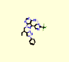 CCC(Cn1nc(-c2cnc(C(F)(F)F)nc2)c2c(N)ncnc21)c1cn(-c2ccccc2)nn1